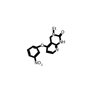 CCN1Cc2c(Oc3cccc([N+](=O)[O-])c3)ccnc2NC1=O